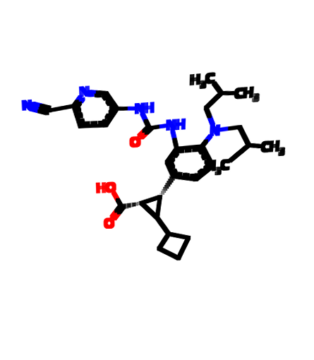 CC(C)CN(CC(C)C)c1ccc([C@@H]2C(C3CCC3)[C@@H]2C(=O)O)cc1NC(=O)Nc1ccc(C#N)nc1